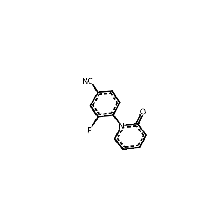 N#Cc1ccc(-n2ccccc2=O)c(F)c1